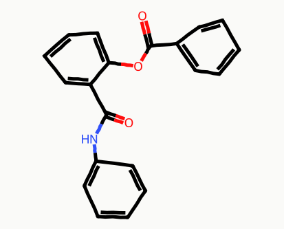 O=C(Oc1ccccc1C(=O)Nc1ccccc1)c1ccccc1